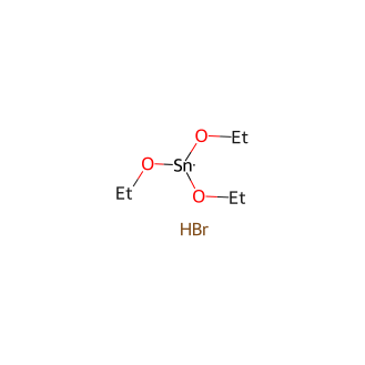 Br.CC[O][Sn]([O]CC)[O]CC